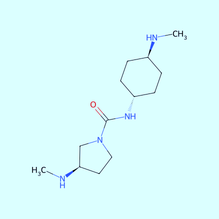 CN[C@@H]1CCN(C(=O)N[C@H]2CC[C@H](NC)CC2)C1